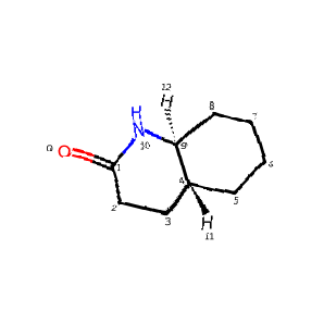 O=C1CC[C@H]2CCCC[C@@H]2N1